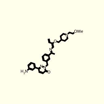 C=C/C(=C\N=C(/C)c1cccc(Cn2nc(-c3cccc(N)c3)ccc2=O)c1)OCC1CCN(CCOC)CC1